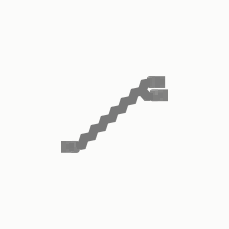 OCCCCCCCCCCCCC(CO)CO